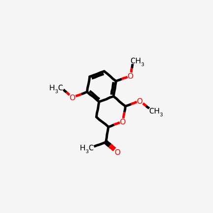 COc1ccc(OC)c2c1CC(C(C)=O)OC2OC